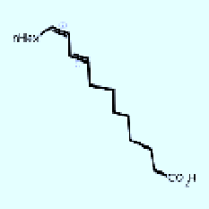 CCCCCC/C=C\C=C\CCCCCCCC(=O)O